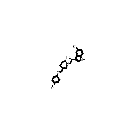 OC(CN1CCCC(COc2ccc(C(F)(F)F)cc2)C1)c1c[nH]c2ccc(Cl)cc12